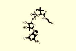 CC(=O)CCNC(=O)[C@@H]1OP(=O)(OC[C@H]2O[C@@H](n3cnc4c(N)nc(N)nc43)C(C)(O)[C@H]2O)OCC1(C)C